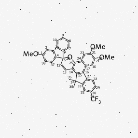 COc1ccc(C2(c3ccccc3)C=Cc3c4c(c5cc(OC)c(OC)cc5c3O2)-c2ccc(C(F)(F)F)cc2C4(C)C)cc1